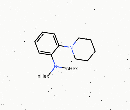 CCCCCCN(CCCCCC)c1ccccc1N1CCCCC1